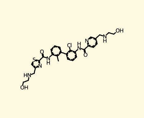 Cc1c(NC(=O)c2nc(CNCCO)cs2)cccc1-c1cccc(NC(=O)c2ccc(CNCCO)cn2)c1Cl